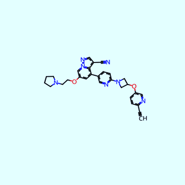 C#Cc1ccc(OC2CN(c3ccc(-c4cc(OCCN5CCCC5)cn5ncc(C#N)c45)cn3)C2)cn1